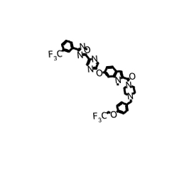 Cn1c(C(=O)N2CCN(Cc3ccc(OCC(F)(F)F)cc3)CC2)cc2ccc(Oc3cnc(-c4nc(-c5cccc(C(F)(F)F)c5)no4)cn3)cc21